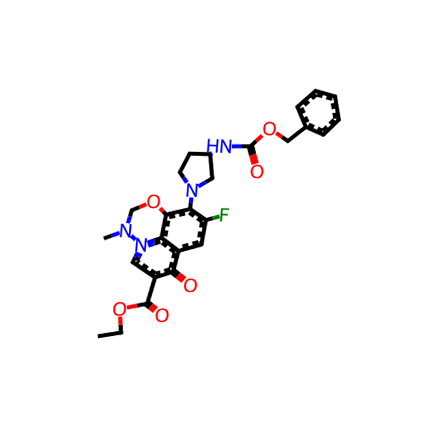 CCOC(=O)c1cn2c3c(c(N4CCC(NC(=O)OCc5ccccc5)C4)c(F)cc3c1=O)OCN2C